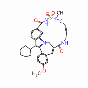 COc1ccc2c(c1)C=C1Cn3c-2c(C2CCCCC2)c2ccc(cc23)C(=O)NS(=O)(=O)N(C)CC=CCNC1=O